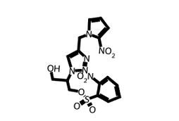 O=[N+]([O-])c1ccccc1S(=O)(=O)OCC(CO)n1cc(Cn2cccc2[N+](=O)[O-])nn1